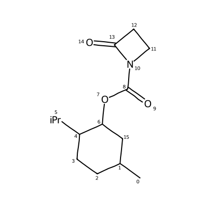 CC1CCC(C(C)C)C(OC(=O)N2CCC2=O)C1